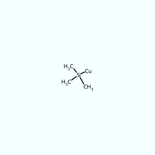 C[Si](C)(C)[Cu]